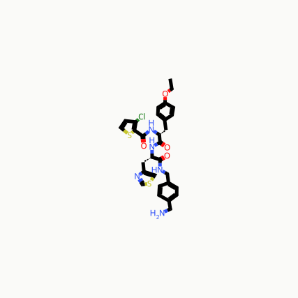 CCOc1ccc(C[C@@H](NC(=O)c2sccc2Cl)C(=O)N[C@@H](Cc2cscn2)C(=O)NCc2ccc(CN)cc2)cc1